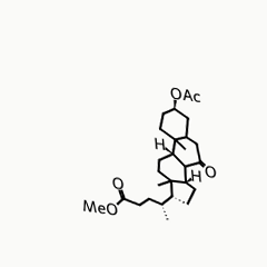 COC(=O)CC[C@@H](C)[C@H]1CC[C@H]2C3C(=O)CC4C[C@H](OC(C)=O)CCC4(C)[C@H]3CCC12C